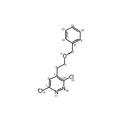 Clc1cc(CCOCc2ccccc2)c(Cl)nn1